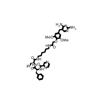 COc1cc(Cc2cnc(N)nc2N)cc(OC)c1OCC(=O)NCCCCCCNC(=O)[C@H](CC(C)C)NC(=O)[C@H](Cc1ccccc1)NC(=O)c1cnccn1